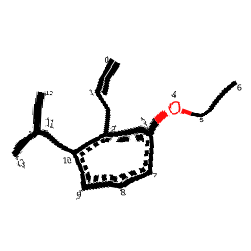 C=Cc1c(OCC)cccc1[C](C)C